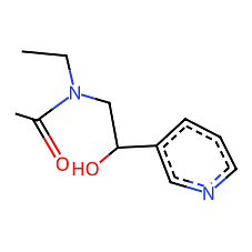 CCN(CC(O)c1cccnc1)C(C)=O